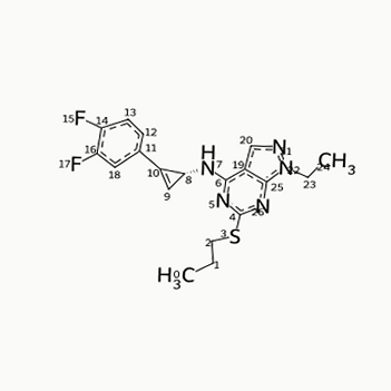 CCCSc1nc(N[C@@H]2C=C2c2ccc(F)c(F)c2)c2cnn(CC)c2n1